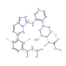 COC(=O)N(C)[C@@H]1[C@H](N)CN(c2ccncc2Nc2ncc3ccc(-c4c(F)ccc(C(C)NC(C)C)c4F)nn23)C[C@@H]1C